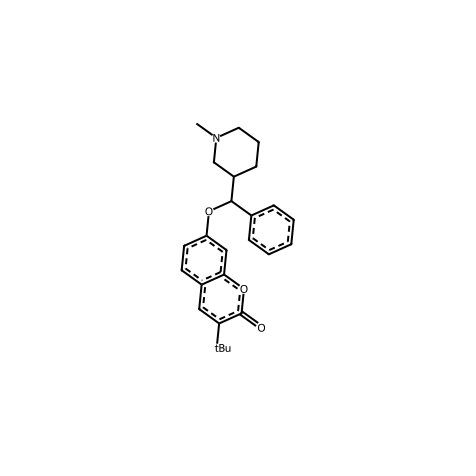 CN1CCCC(C(Oc2ccc3cc(C(C)(C)C)c(=O)oc3c2)c2ccccc2)C1